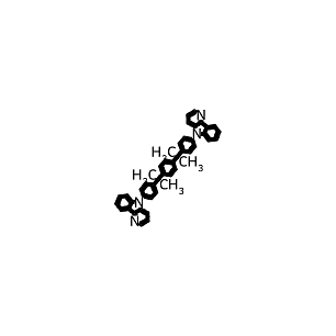 CC(C)(c1ccc(-n2c3ccccc3c3ncccc32)cc1)c1ccc(C(C)(C)c2ccc(-n3c4ccccc4c4ncccc43)cc2)cc1